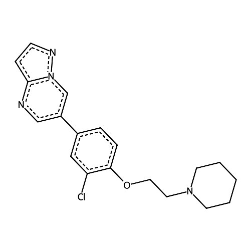 Clc1cc(-c2cnc3ccnn3c2)ccc1OCCN1CCCCC1